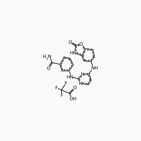 NC(=O)c1cccc(Nc2nccc(Nc3ccc4oc(=O)[nH]c4c3)n2)c1.O=C(O)C(F)(F)F